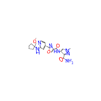 COCC1(Nc2cc(-c3nc(C(=O)Nc4cn(C)nc4C(N)=O)co3)ccn2)CCCC1